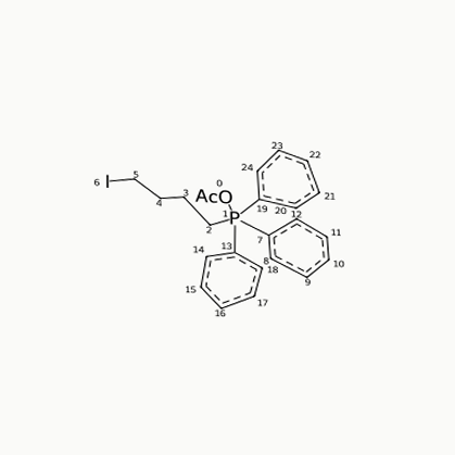 CC(=O)OP(CCCCI)(c1ccccc1)(c1ccccc1)c1ccccc1